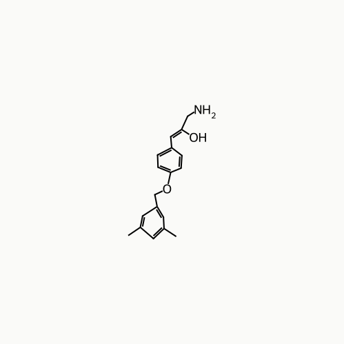 Cc1cc(C)cc(COc2ccc(C=C(O)CN)cc2)c1